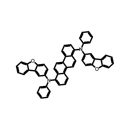 c1ccc(N(c2ccc3oc4ccccc4c3c2)c2cccc3c2ccc2c4cccc(N(c5ccccc5)c5ccc6oc7ccccc7c6c5)c4ccc32)cc1